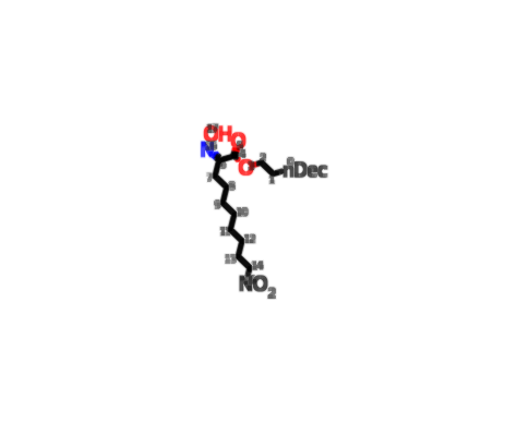 CCCCCCCCCCCCOC(=O)/C(CCCCCCCC[N+](=O)[O-])=N\O